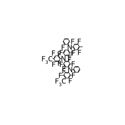 Cc1c(F)c(F)c(N(c2ccccc2)c2c(F)c(F)c(N(c3c(F)c(F)c(N(c4ccccc4)c4c(F)c(F)c(C(F)(F)F)c(F)c4F)c(F)c3F)c3c(F)c(F)c(C(F)(F)F)c(F)c3F)c(F)c2F)c(F)c1F